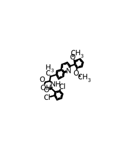 COc1cccc(OC)c1-c1ccc2cc(C(C)C(NC(=O)c3c(Cl)cccc3Cl)C(=O)O)ccc2n1